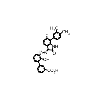 Cc1ccc(-c2c(F)ccc3c2NC(=O)C3=NNc2cccc(-c3cccc(C(=O)O)c3)c2O)cc1C